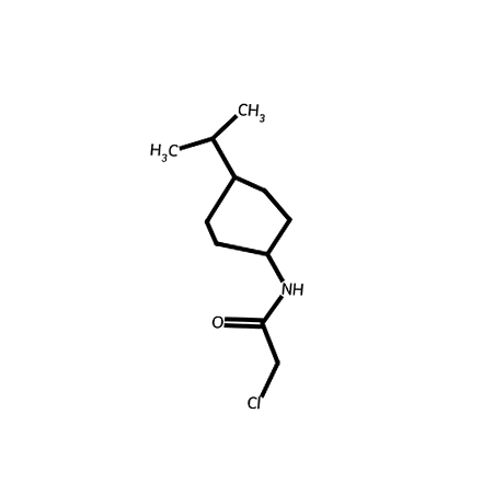 CC(C)C1CCC(NC(=O)CCl)CC1